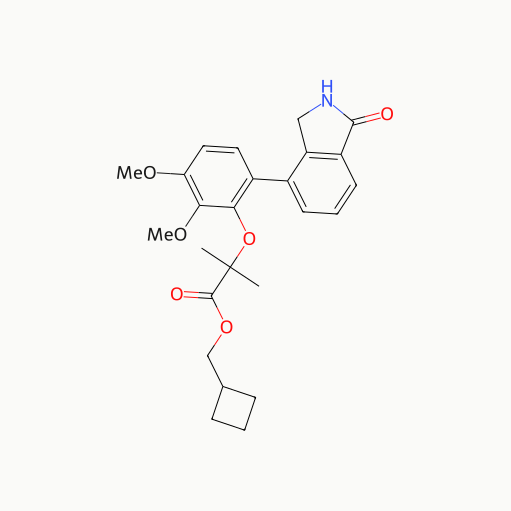 COc1ccc(-c2cccc3c2CNC3=O)c(OC(C)(C)C(=O)OCC2CCC2)c1OC